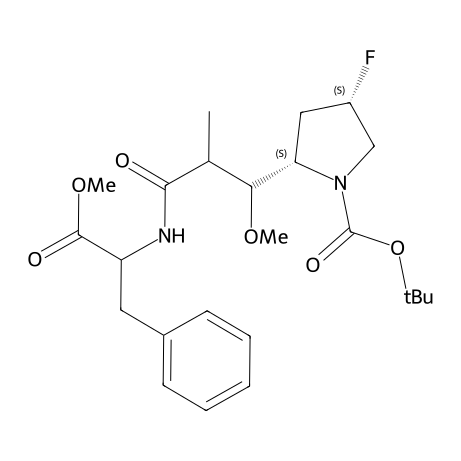 COC(=O)C(Cc1ccccc1)NC(=O)C(C)C(OC)[C@@H]1C[C@H](F)CN1C(=O)OC(C)(C)C